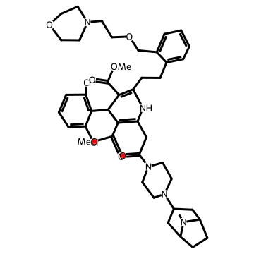 COC(=O)C1=C(CCc2ccccc2COCCN2CCOCC2)NC(CC(=O)N2CCN(C3CC4CCC(C3)N4C)CC2)=C(C(=O)OC)C1c1c(Cl)cccc1Cl